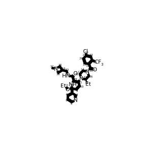 CCOC1(c2cccnc2)C=CC(N2CCN(C(=O)c3ccc(Cl)cc3C(F)(F)F)C[C@H]2CC)=C(C(=O)NCC2CN(C)C2)N1